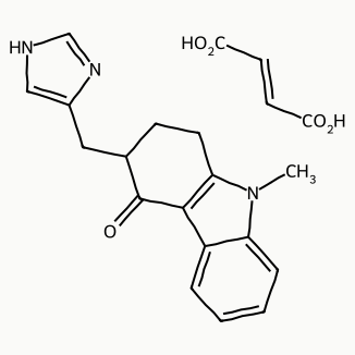 Cn1c2c(c3ccccc31)C(=O)C(Cc1c[nH]cn1)CC2.O=C(O)C=CC(=O)O